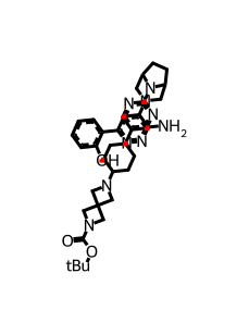 CC(C)(C)OC(=O)N1CC2(C1)CN(C1CCC(c3cnc(N4C5CCC4CN(c4cc(-c6ccccc6O)nnc4N)C5)nc3)CC1)C2